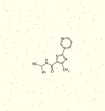 Cc1nc(-c2cccnc2)sc1C(=O)NC(C#N)C(C)C